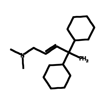 CN(C)C/C=C/C(P)(C1CCCCC1)C1CCCCC1